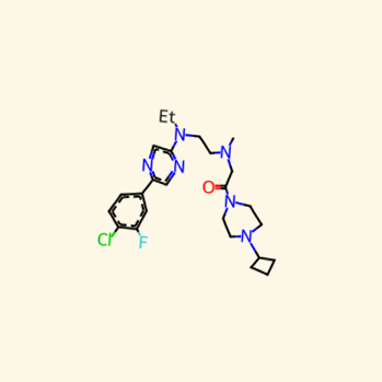 CCN(CCN(C)CC(=O)N1CCN(C2CCC2)CC1)c1cnc(-c2ccc(Cl)c(F)c2)cn1